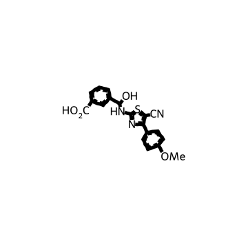 COc1ccc(-c2nc(NC(O)c3cccc(C(=O)O)c3)sc2C#N)cc1